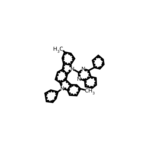 Cc1ccc2c(c1)c1c(ccc3c4cc(C)ccc4n(-c4nc(-c5ccccc5)c5ccccc5n4)c31)n2-c1ccccc1